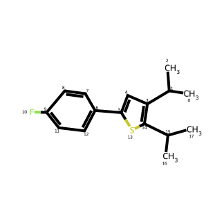 CC(C)c1cc(-c2ccc(F)cc2)sc1C(C)C